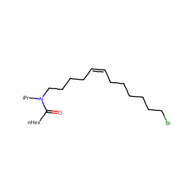 CCCCCCC(=O)N(CCCC/C=C\CCCCCCBr)C(C)C